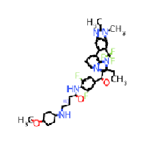 CCc1nc2c(-c3cc4nc(C)n(C)c4cc3C(F)(F)F)cccn2c1C(=O)c1cc(F)c(NC(=O)/C=C/CNC2CCC(OC)CC2)c(F)c1